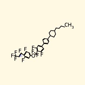 CCCCCC1CCC(c2ccc(-c3cc(F)c(C(F)(F)Oc4cc(F)c(/C(F)=C/C(F)(F)F)c(F)c4)c(F)c3)cc2)CC1